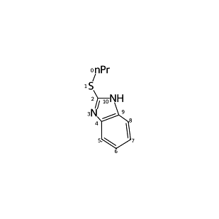 CCCSc1nc2[c]cccc2[nH]1